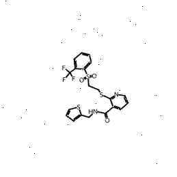 O=C(NCc1cccs1)c1cccnc1SCCS(=O)(=O)c1ccccc1C(F)(F)F